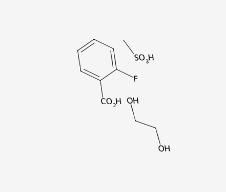 CS(=O)(=O)O.O=C(O)c1ccccc1F.OCCO